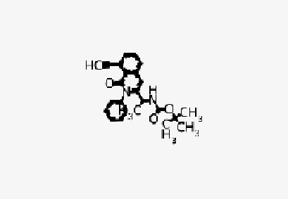 C#Cc1cccc2cc(C(C)NC(=O)OC(C)(C)C)n(-c3ccccc3)c(=O)c12